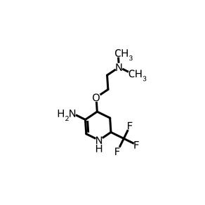 CN(C)CCOC1CC(C(F)(F)F)NC=C1N